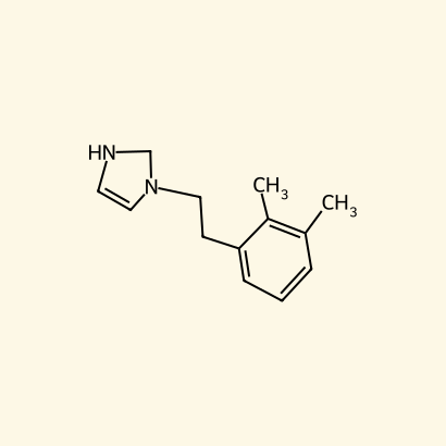 Cc1cccc(CCN2C=CNC2)c1C